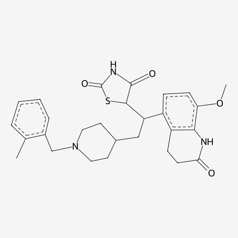 COc1ccc(C(CC2CCN(Cc3ccccc3C)CC2)C2SC(=O)NC2=O)c2c1NC(=O)CC2